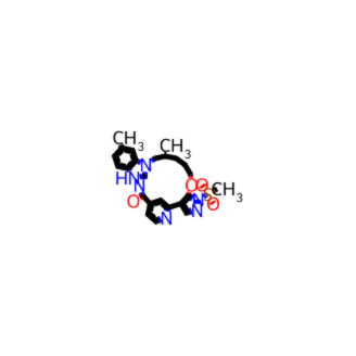 Cc1ccc2c(c1)N1C[C@H](C)CCCOc3c(cnn3S(C)(=O)=O)-c3cc(ccn3)C(=O)/N=C/1N2